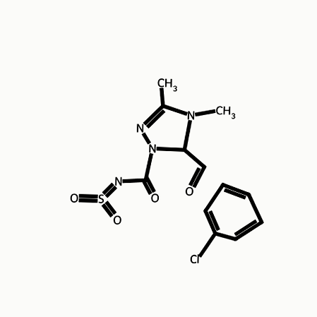 CC1=NN(C(=O)N=S(=O)=O)C(C=O)N1C.Clc1ccccc1